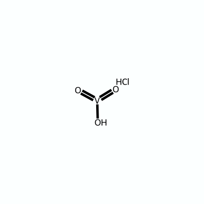 Cl.[O]=[V](=[O])[OH]